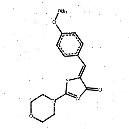 CCCCOc1ccc(/C=C2\SC(N3CCOCC3)=NC2=O)cc1